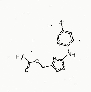 CC(=O)OCc1csc(Nc2ccc(Br)cn2)n1